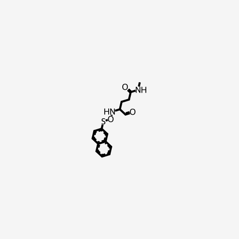 CNC(=O)CCC(C=O)NOSc1ccc2ccccc2c1